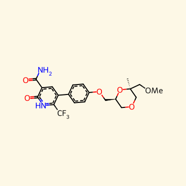 COC[C@@]1(C)COC[C@@H](COc2ccc(-c3cc(C(N)=O)c(=O)[nH]c3C(F)(F)F)cc2)O1